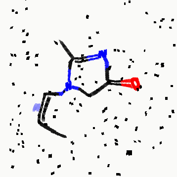 C/C=C\N1CC(=O)N=C1C